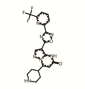 O=c1cc(C2CCNCC2)n2ncc(-c3nc(-c4cccc(C(F)(F)F)n4)no3)c2[nH]1